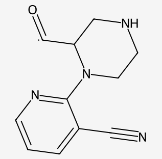 N#Cc1cccnc1N1CCNCC1[C]=O